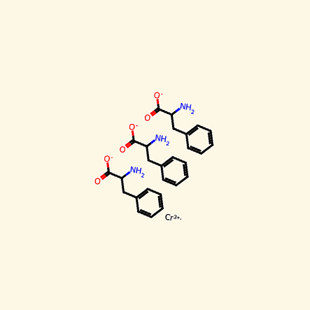 NC(Cc1ccccc1)C(=O)[O-].NC(Cc1ccccc1)C(=O)[O-].NC(Cc1ccccc1)C(=O)[O-].[Cr+3]